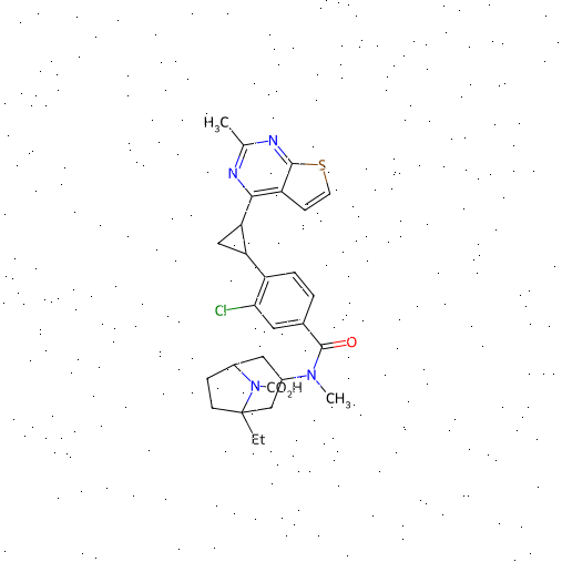 CCC12CCC(CC(N(C)C(=O)c3ccc(C4CC4c4nc(C)nc5sccc45)c(Cl)c3)C1)N2C(=O)O